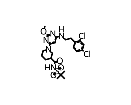 COc1nc(NCCc2ccc(Cl)cc2Cl)cc(N2CCCC(C(=O)NS(=O)(=O)C(C)(C)C)C2)n1